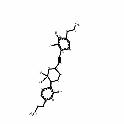 CCCc1ccc(C2CCC(C#Cc3ccc(CCC)c(F)c3F)CC2(F)F)c(F)c1